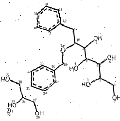 OCC(O)C(O)C(O)C(O)C(Cc1ccccc1)OCc1ccccc1.OCC(O)CO.[Zn]